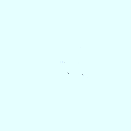 CC(C)(C)OC(=O)N[C@@H](CCN)c1ccccc1.Cl